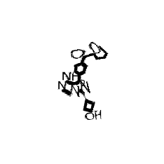 C[C@]1(O)C[C@H](c2nc(-c3ccc(C(=O)C4CCCCO4)cc3)c3c(N)nccn32)C1